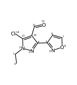 CCn1nc(-c2ccon2)c(C=O)c1Cl